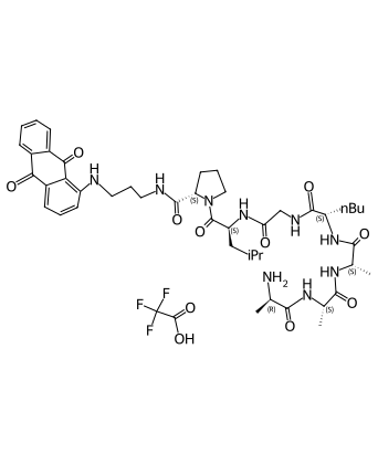 CCCC[C@H](NC(=O)[C@H](C)NC(=O)[C@H](C)NC(=O)[C@@H](C)N)C(=O)NCC(=O)N[C@@H](CC(C)C)C(=O)N1CCC[C@H]1C(=O)NCCCNc1cccc2c1C(=O)c1ccccc1C2=O.O=C(O)C(F)(F)F